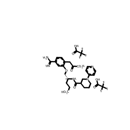 N=C(N)c1ccc(CC(=O)C(=O)O)c(OC[C@@H](CCC(=O)O)NC(=O)C2CCCN(c3ccncc3)C2)c1.O=C(O)C(F)(F)F.O=C(O)C(F)(F)F